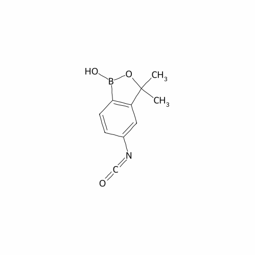 CC1(C)OB(O)c2ccc(N=C=O)cc21